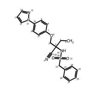 CCC(C#N)(COc1ccc(-n2cccn2)cc1)NS(=O)(=O)Cc1ccccc1